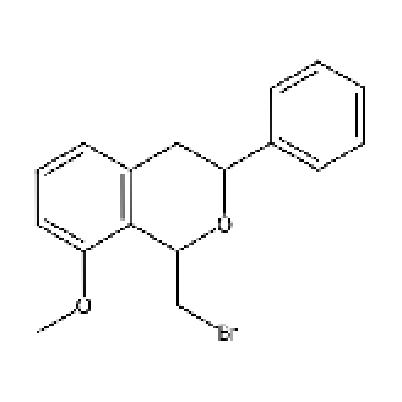 COc1cccc2c1C(CBr)OC(c1ccccc1)C2